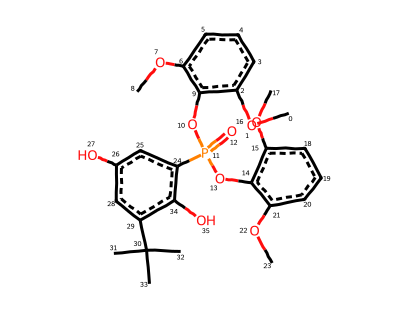 COc1cccc(OC)c1OP(=O)(Oc1c(OC)cccc1OC)c1cc(O)cc(C(C)(C)C)c1O